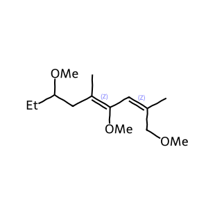 CCC(C/C(C)=C(/C=C(/C)COC)OC)OC